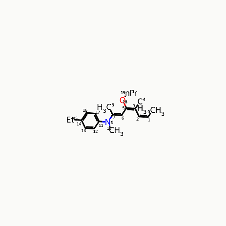 C\C=C/C(C)=C(\C=C(/C)N(C)c1ccc(CC)cc1)OCCC